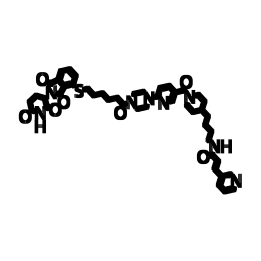 O=C(/C=C/c1cccnc1)NCCCCC1CCN(C(=O)c2ccc(N3CCN(C(=O)CCCCCSc4cccc5c4C(=O)N(C4CCC(=O)NC4=O)C5=O)CC3)nc2)CC1